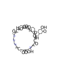 COC1CC(C[C@H]2C3CCCN4C(=O)C(=O)C5(O)O[C@@H](CCC5C)C[C@H](OC)/C(C)=C/C=C/C=C/[C@@H](C)CC(C)C(=O)[C@H](OC)C(O)/C(C)=C/[C@@H](C)C(=O)C[C@@H]2OC(=O)C34)CCC1O